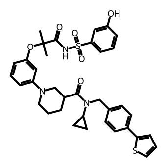 CC(C)(Oc1cccc(N2CCCC(C(=O)N(Cc3ccc(-c4cccs4)cc3)C3CC3)C2)c1)C(=O)NS(=O)(=O)c1cccc(O)c1